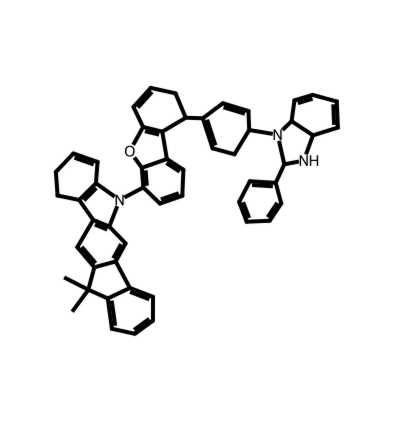 CC1(C)c2ccccc2-c2cc3c(cc21)c1c(n3-c2cccc3c4c(oc23)C=CCC4C2=CCC(N3C(c4ccccc4)NC4C=CC=CC43)C=C2)C=CCC1